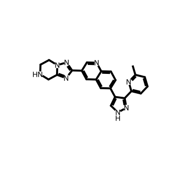 Cc1cccc(-c2n[nH]cc2-c2ccc3ncc(-c4nc5n(n4)CCNC5)cc3c2)n1